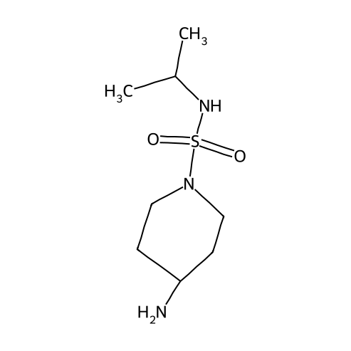 CC(C)NS(=O)(=O)N1CCC(N)CC1